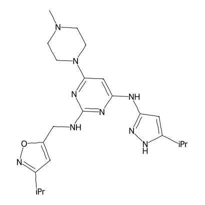 CC(C)c1cc(CNc2nc(Nc3cc(C(C)C)[nH]n3)cc(N3CCN(C)CC3)n2)on1